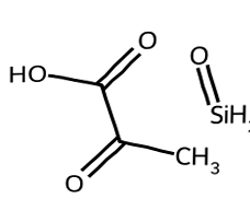 CC(=O)C(=O)O.O=[SiH2]